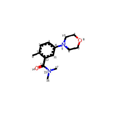 Cc1ccc(N2CCOCC2)cc1C(=O)N(C)C